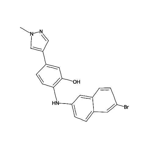 Cn1cc(-c2ccc(Nc3ccc4cc(Br)ccc4c3)c(O)c2)cn1